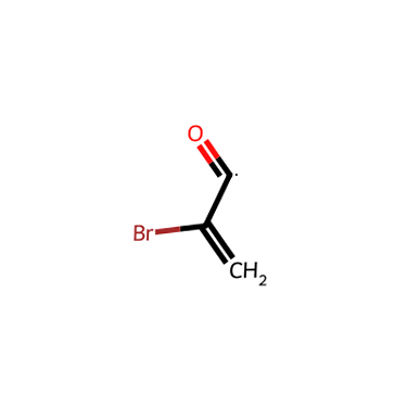 C=C(Br)[C]=O